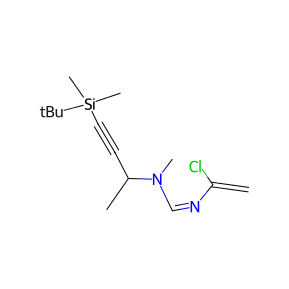 C=C(Cl)/N=C\N(C)C(C)C#C[Si](C)(C)C(C)(C)C